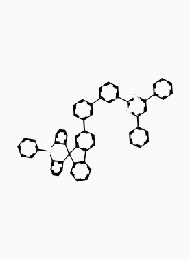 c1ccc(-c2cc(-c3ccccc3)nc(-c3cccc(-c4cccc(-c5ccc6c(c5)C5(c7ccccc7-6)c6ccccc6N(c6ccccc6)c6ccccc65)c4)c3)n2)cc1